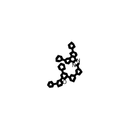 c1ccc(-c2ccc3oc4c(-c5cccc(-c6cccc(-c7cnc8c9ccc(-c%10ccccc%10)cc9c9cc(-c%10ccccc%10)ccc9c8n7)c6)c5)cc(-c5ccccc5)cc4c3c2)cc1